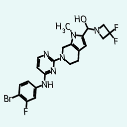 Cn1c(C(O)N2CC(F)(F)C2)cc2c1CN(c1nccc(Nc3ccc(Br)c(F)c3)n1)CC2